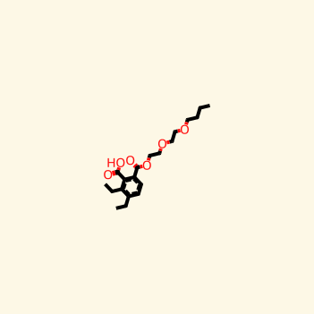 CCCCOCCOCCOC(=O)c1ccc(CC)c(CC)c1C(=O)O